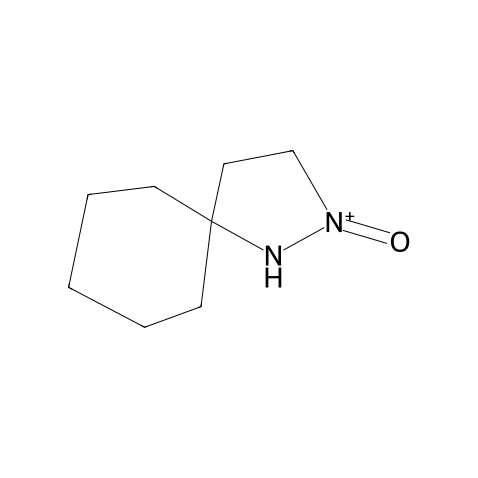 O=[N+]1CCC2(CCCCC2)N1